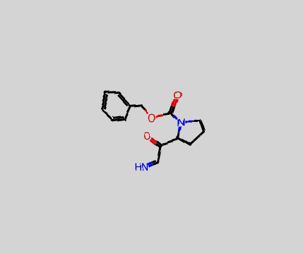 N=CC(=O)C1CCCN1C(=O)OCc1ccccc1